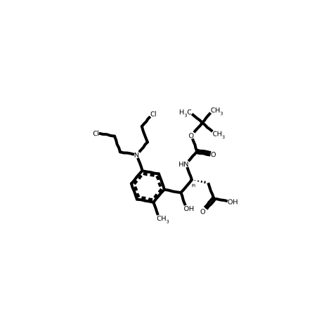 Cc1ccc(N(CCCl)CCCl)cc1C(O)[C@@H](CC(=O)O)NC(=O)OC(C)(C)C